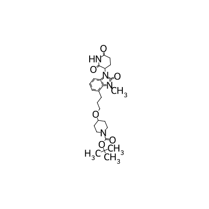 Cn1c(=O)n(C2CCC(=O)NC2=O)c2cccc(CCCOC3CCN(C(=O)OC(C)(C)C)CC3)c21